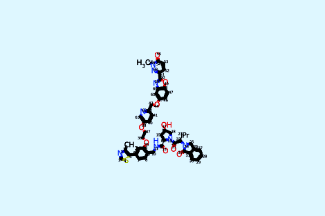 Cc1ncsc1-c1ccc(CNC(=O)[C@@H]2C[C@@H](O)CN2C(=O)[C@H](C(C)C)N2Cc3ccccc3C2=O)c(OCCOc2ccc(COc3ccc4oc(-c5ccc(=O)n(C)n5)nc4c3)nc2)c1